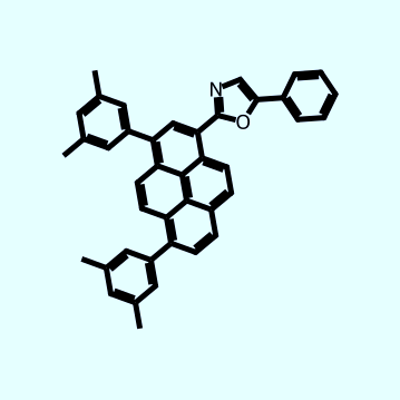 Cc1cc(C)cc(-c2ccc3ccc4c(-c5ncc(-c6ccccc6)o5)cc(-c5cc(C)cc(C)c5)c5ccc2c3c54)c1